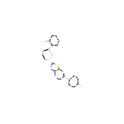 COc1ccccc1C1=CC=CN(c2nc3ncc(-c4ccc(C#N)cc4)nc3s2)C1